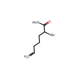 C=CCCCC(C(=O)OC)C(C)(C)C